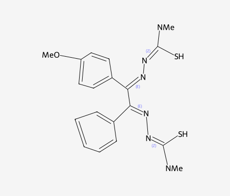 CN/C(S)=N/N=C(/C(=N/N=C(\S)NC)c1ccc(OC)cc1)c1ccccc1